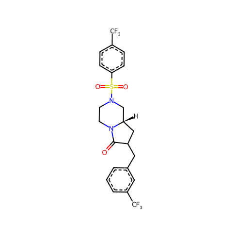 O=C1C(Cc2cccc(C(F)(F)F)c2)C[C@H]2CN(S(=O)(=O)c3ccc(C(F)(F)F)cc3)CCN12